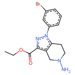 CCOC(=O)c1nn(-c2cccc(Br)c2)c2c1CN(N)CC2